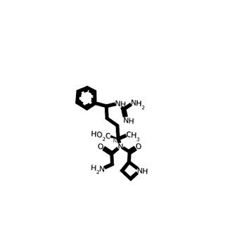 C[C@](CCC(NC(=N)N)c1ccccc1)(C(=O)O)N(C(=O)CN)C(=O)C1CCN1